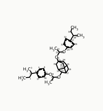 CCC(C)c1ccc(OC(C)OC2C3CC4CC2CC(OC(C)Oc2ccc(C(C)CC)cc2)(C4)C3)cc1